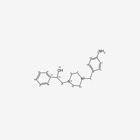 Nc1ccc(CN2CCN(CC(O)c3ccccc3)CC2)cc1